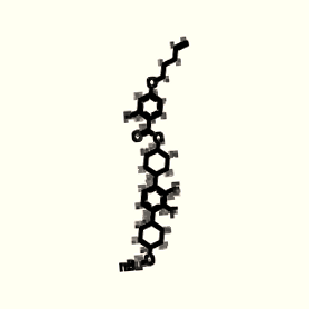 C=CCCCOc1ccc(C(=O)OC2CCC(c3ccc(C4CCC(OCCCC)CC4)c(F)c3F)CC2)c(F)c1